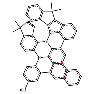 CC(C)(C)c1ccc(N2c3cc(-c4ccccc4)cc4c3B(c3c2ccc2c3-c3ccccc3C2(C)C)n2c3c(c5cccc-4c52)C(C)(C)c2ccccc2-3)c(-c2ccccc2)c1